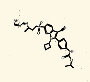 C=C(CCS(=O)(=O)c1ccc2c(C#N)c(-c3ccc(NC(=O)OC(C)C)cc3)n(C3CCC3)c2c1)/N=C\N=C/N